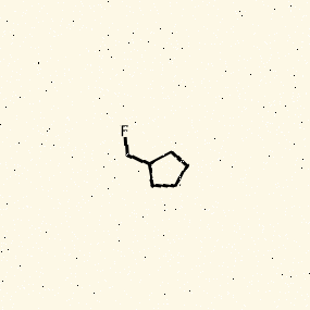 FCC1C[CH]CC1